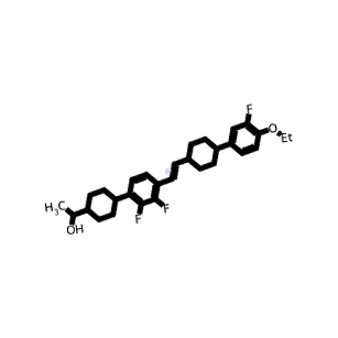 CCOc1ccc(C2CCC(/C=C/c3ccc(C4CCC(C(C)O)CC4)c(F)c3F)CC2)cc1F